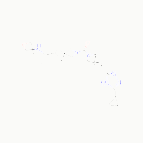 O=C(N1CC2(CC(CNC3(C(F)(F)F)COC3)C2)C1)N1CC2(CC(c3nnc(C4CC4)[nH]3)C2)C1